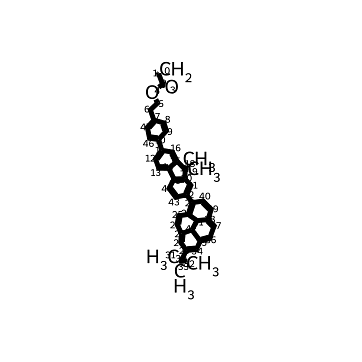 C=CC(=O)OCCc1ccc(-c2ccc3c(c2)C(C)(C)c2cc(C4=C5C=CC6=CC(C(C)(C)C)=CC7=CC=C(C=C4)C5C76)ccc2-3)cc1